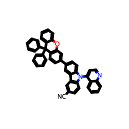 N#Cc1ccc2c(c1)c1cc(-c3ccc4c(c3)Oc3ccccc3C4(c3ccccc3)c3ccccc3)ccc1n2-c1ccnc2ccccc12